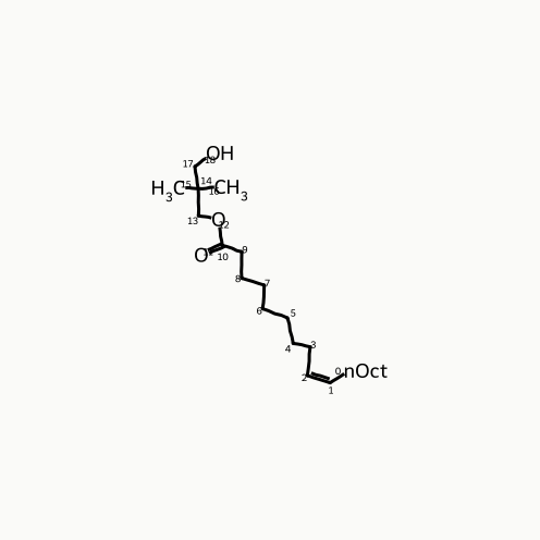 CCCCCCCC/C=C\CCCCCCCC(=O)OCC(C)(C)CO